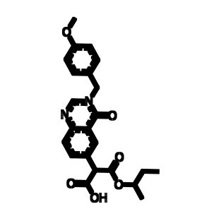 CCC(C)OC(=O)C(C(=O)O)c1ccc2ncn(Cc3ccc(OC)cc3)c(=O)c2c1